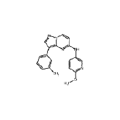 COc1ccc(Nc2ccn3ncc(-c4cccc(C)c4)c3n2)cn1